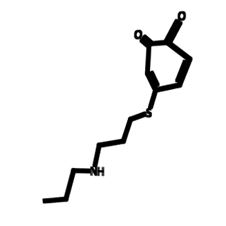 CCCNCCCSC1=CC(=O)C(=O)C=C1